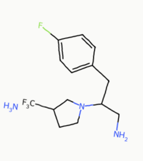 N.NCC(Cc1ccc(F)cc1)N1CCC(C(F)(F)F)C1